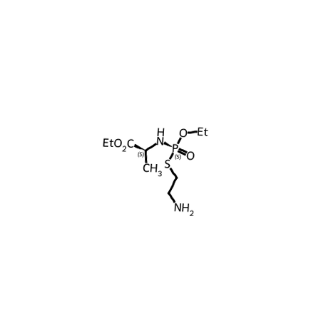 CCOC(=O)[C@H](C)N[P@](=O)(OCC)SCCN